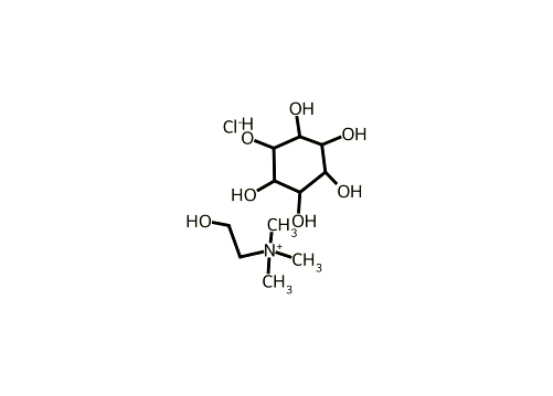 C[N+](C)(C)CCO.OC1C(O)C(O)C(O)C(O)C1O.[Cl-]